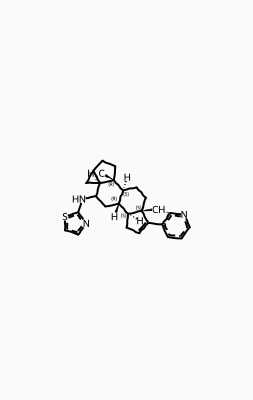 C[C@]12CC[C@H]3[C@@H](CC(Nc4nccs4)C45CC4CC[C@]35C)[C@@H]1CC=C2c1cccnc1